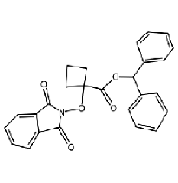 O=C1c2ccccc2C(=O)N1OC1(C(=O)OC(c2ccccc2)c2ccccc2)CCC1